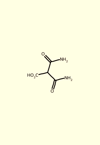 NC(=O)C(C(N)=O)C(=O)O